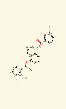 O=C(Oc1cccc2c(OC(=O)c3cccc(F)c3F)cccc12)c1cccc(F)c1F